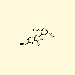 COc1ccc(OC(C)C)cc1-c1nc2ccc(C(=O)O)cc2c(=O)[nH]1